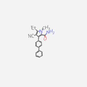 CCc1c(C#N)c(-c2ccc(-c3ccccc3)cc2)c(C(N)=O)n1C